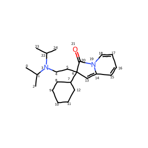 CC(C)N(CCC1(C2CCCCC2)C=C2C=CC=CN2C1=O)C(C)C